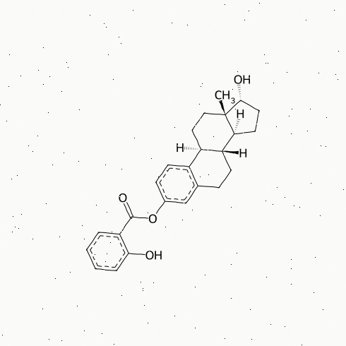 C[C@]12CC[C@@H]3c4ccc(OC(=O)c5ccccc5O)cc4CC[C@H]3[C@@H]1CC[C@H]2O